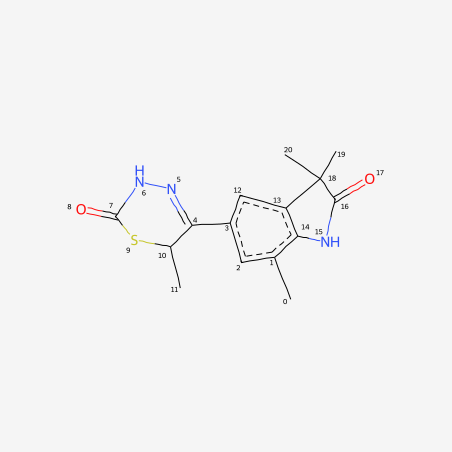 Cc1cc(C2=NNC(=O)SC2C)cc2c1NC(=O)C2(C)C